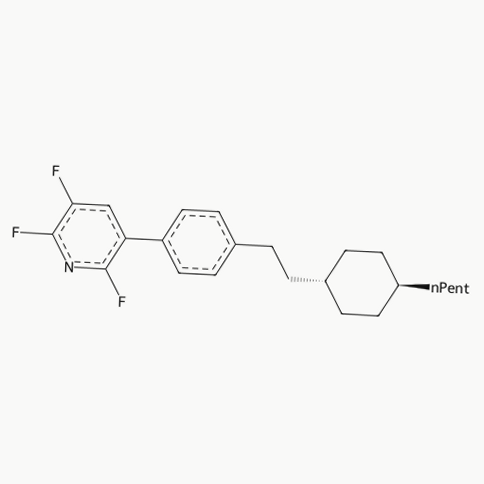 CCCCC[C@H]1CC[C@H](CCc2ccc(-c3cc(F)c(F)nc3F)cc2)CC1